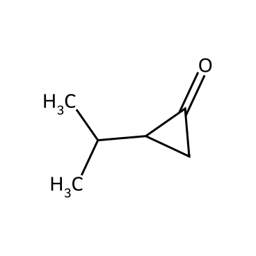 CC(C)C1CC1=O